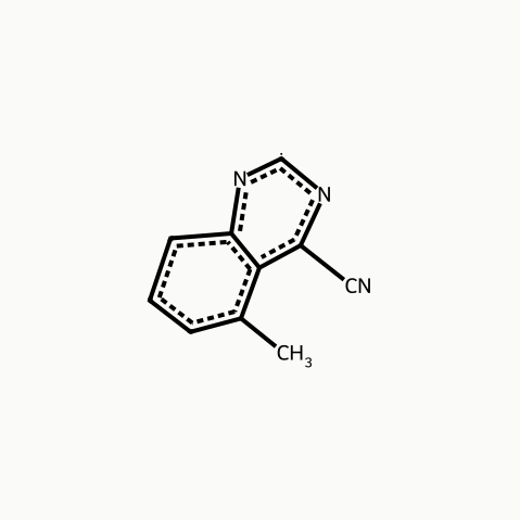 Cc1cccc2n[c]nc(C#N)c12